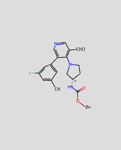 CC(C)(C)OC(=O)N[C@H]1CCN(c2c(C=O)cncc2-c2cc(F)cc(C#N)c2)C1